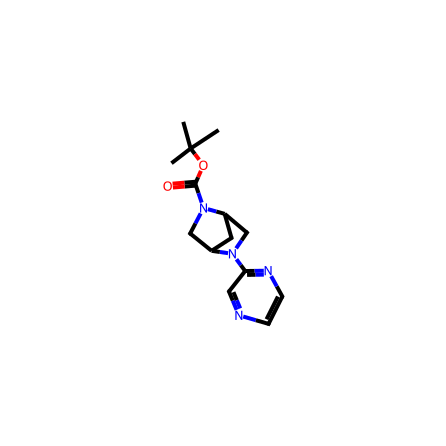 CC(C)(C)OC(=O)N1CC2CC1CN2c1cnccn1